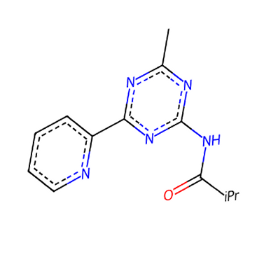 Cc1nc(NC(=O)C(C)C)nc(-c2ccccn2)n1